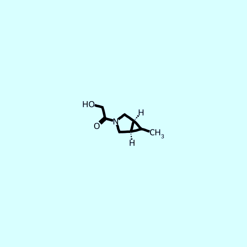 CC1[C@H]2CN(C(=O)CO)C[C@@H]12